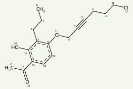 CCCc1c(OCC#CCCCCl)ccc(C(C)=O)c1O